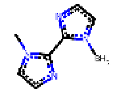 Bn1ccnc1-c1nccn1C